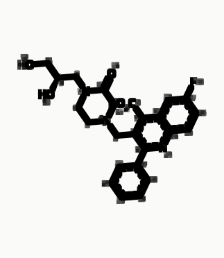 O=C(O)c1c(CN2CCN(C[C@@H](O)CO)C(=O)C2)c(-c2ccccc2)nc2ccc(F)cc12